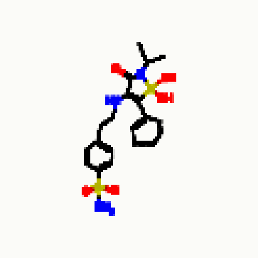 CC(C)N1C(=O)C(NCCc2ccc(S(N)(=O)=O)cc2)=C(c2ccccc2)S1(O)O